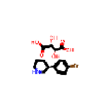 Brc1ccc([C@@H]2CCCNC2)cc1.O=C(O)[C@H](O)[C@@H](O)C(=O)O